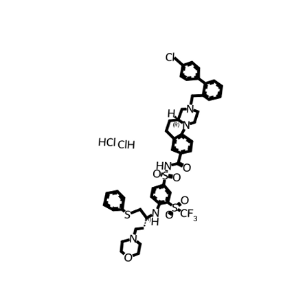 Cl.Cl.O=C(NS(=O)(=O)c1ccc(N[C@H](CCN2CCOCC2)CSc2ccccc2)c(S(=O)(=O)C(F)(F)F)c1)c1ccc2c(c1)CC[C@@H]1CN(Cc3ccccc3-c3ccc(Cl)cc3)CCN21